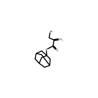 C=C(CC(C)C)C(=O)OC12CC3CC(CC(C3)C1)C2